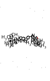 CC[C@H]1CC[C@@H](c2nc3ccc4cc5c(cc4c3[nH]2)OCc2cc(-c3cnc([C@@H]4CC[C@H](C)N4C(=O)C(NC(=O)OC)C(C)C)[nH]3)ccc2-5)N1C(=O)C(NC(=O)O)C1C[C@@H](C)O[C@H](C)C1